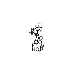 CC1=N/C(=C2\CN(C(=O)c3ccc(F)cc3OC3CCN(CC(C)O)C3)CC2=N)NC(C)=C1Cl